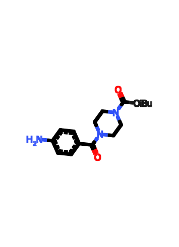 CC(C)COC(=O)N1CCN(C(=O)c2ccc(N)cc2)CC1